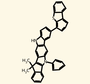 CC1(C)c2ccccc2-c2c1c1cc3[nH]c4ccc(-c5cccc6c5sc5ccccc56)cc4c3cc1n2-c1ccccc1